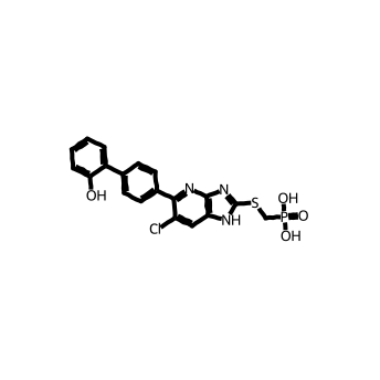 O=P(O)(O)CSc1nc2nc(-c3ccc(-c4ccccc4O)cc3)c(Cl)cc2[nH]1